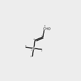 C[Si](C)(C)/C=C/C=O